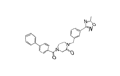 Cc1nc(-c2cccc(CN3CCN(C(=O)c4ccc(-c5ccccc5)cc4)CC3=O)c2)no1